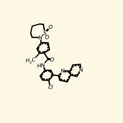 Cc1cc(N2CCCCCS2(=O)=O)ccc1C(=O)Nc1ccc(Cl)c(-c2ccc3cnccc3n2)c1